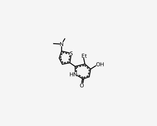 CCc1c(O)cc(=O)[nH]c1-c1ccc(N(C)C)s1